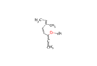 C=C=C(/C=C\C(C)=C/C)OCCC